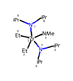 C[CH2][Zr]([CH2]C)([NH]C)([N](C(C)C)C(C)C)[N](C(C)C)C(C)C